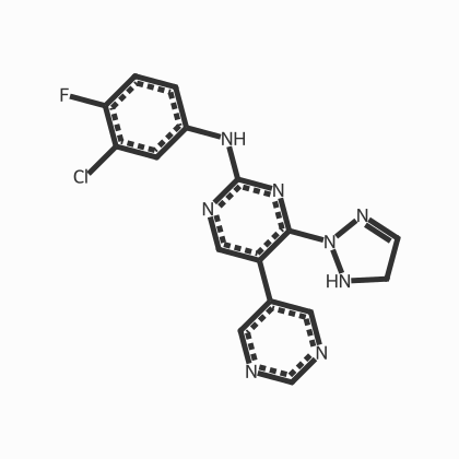 Fc1ccc(Nc2ncc(-c3cncnc3)c(N3N=CCN3)n2)cc1Cl